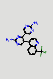 Nc1ncc(-c2nc(N)ncc2-c2ccnc3c(C(F)(F)F)cccc23)cn1